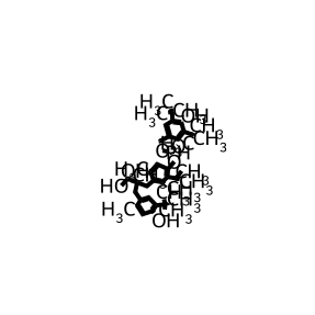 Cc1cc(O)c(C(C)(C)C)cc1CC(C)(Cc1cc(C(C)(C)C)c(O[PH](=O)OCc2cc(C(C)(C)C)c(O)c(C(C)(C)C)c2)cc1C)C(O)O